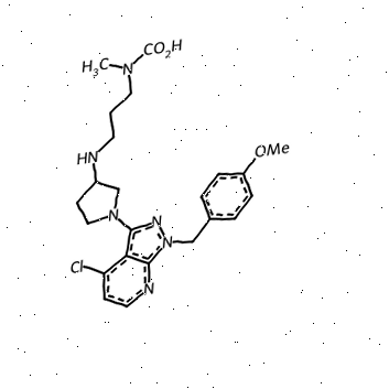 COc1ccc(Cn2nc(N3CCC(NCCCN(C)C(=O)O)C3)c3c(Cl)ccnc32)cc1